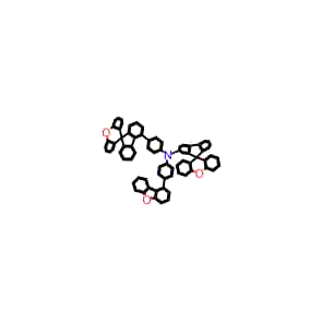 c1ccc2c(c1)Oc1ccccc1C21c2ccccc2-c2ccc(N(c3ccc(-c4cccc5c4-c4ccccc4C54c5ccccc5Oc5ccccc54)cc3)c3ccc(-c4cccc5oc6ccccc6c45)cc3)cc21